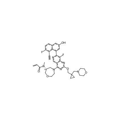 C#Cc1c(F)ccc2cc(O)cc(-c3ncc4c(N5CCOC[C@H](N(C)C(=O)C=C)C5)nc(OCC5(CN6CCOCC6)CC5)nc4c3F)c12